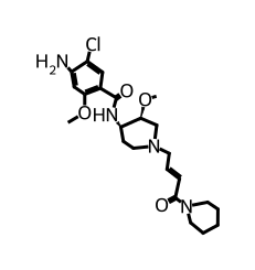 COc1cc(N)c(Cl)cc1C(=O)N[C@@H]1CCN(C/C=C/C(=O)N2CCCCC2)C[C@@H]1OC